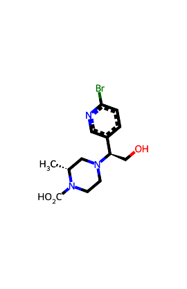 C[C@@H]1CN([C@H](CO)c2ccc(Br)nc2)CCN1C(=O)O